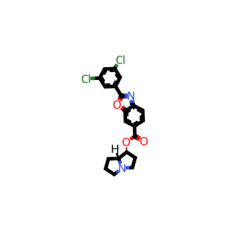 O=C(O[C@@H]1CCN2CCC[C@H]12)c1ccc2nc(-c3cc(Cl)cc(Cl)c3)oc2c1